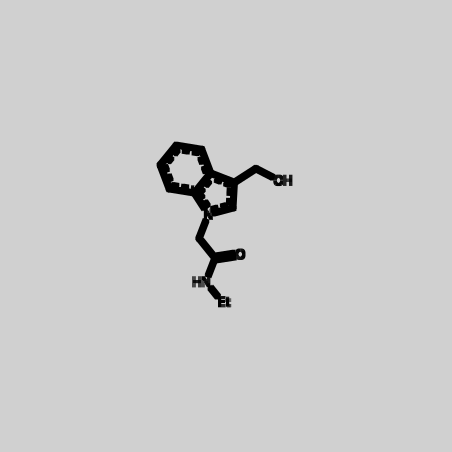 CCNC(=O)Cn1cc(CO)c2ccccc21